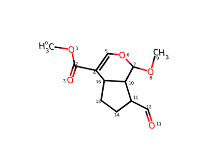 COC(=O)C1=COC(OC)C2C(C=O)CCC12